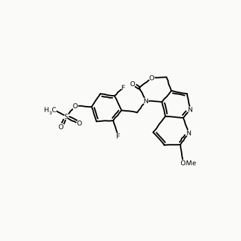 COc1ccc2c3c(cnc2n1)COC(=O)N3Cc1c(F)cc(OS(C)(=O)=O)cc1F